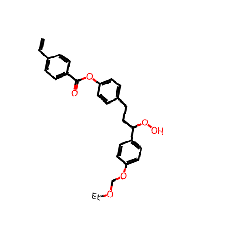 C=Cc1ccc(C(=O)Oc2ccc(CCC(OO)c3ccc(OCOCC)cc3)cc2)cc1